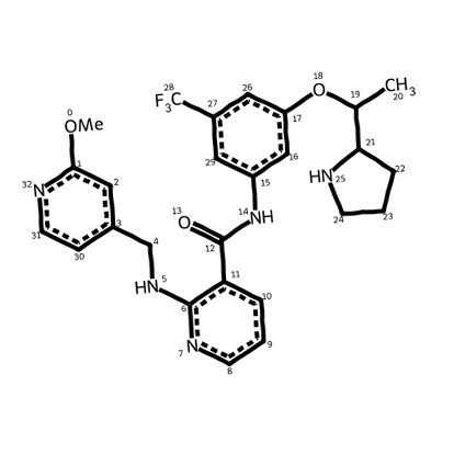 COc1cc(CNc2ncccc2C(=O)Nc2cc(OC(C)C3CCCN3)cc(C(F)(F)F)c2)ccn1